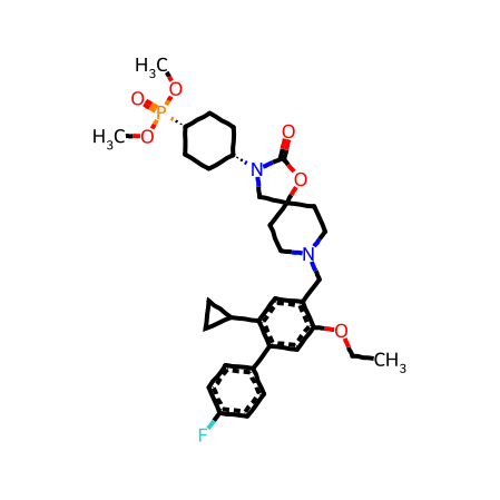 CCOc1cc(-c2ccc(F)cc2)c(C2CC2)cc1CN1CCC2(CC1)CN([C@H]1CC[C@@H](P(=O)(OC)OC)CC1)C(=O)O2